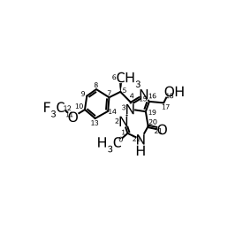 Cc1nn2c([C@H](C)c3ccc(OC(F)(F)F)cc3)nc(CO)c2c(=O)[nH]1